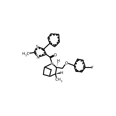 Cc1nc(C(=O)N2C3CC(C3)[C@@H](C)[C@@H]2COc2ccc(F)cc2)c(-c2ccccc2)s1